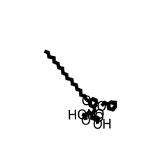 CCCCCCCCCCCCCCCCCCOc1ccc(OCc2ccccc2)c(C(=O)N(CC(=O)O)CC(=O)O)c1